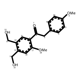 COc1ccc(CC(=O)c2cc(CO)c(CO)cc2OC)cc1